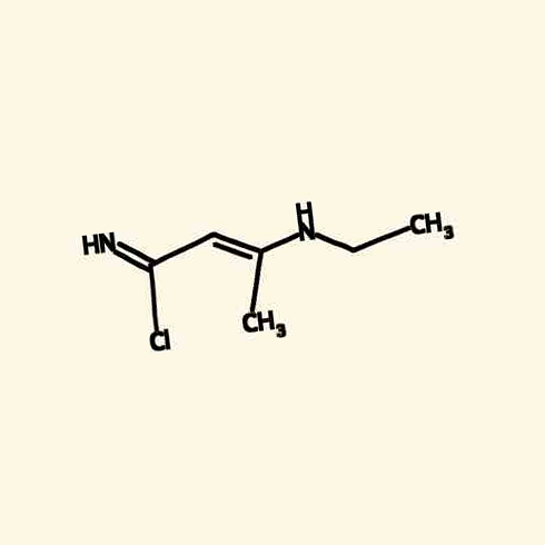 CCN/C(C)=C/C(=N)Cl